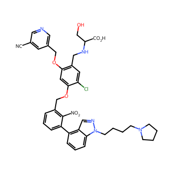 N#Cc1cncc(COc2cc(OCc3cccc(-c4cccc5c4cnn5CCCCN4CCCC4)c3[N+](=O)[O-])c(Cl)cc2CNC(CO)C(=O)O)c1